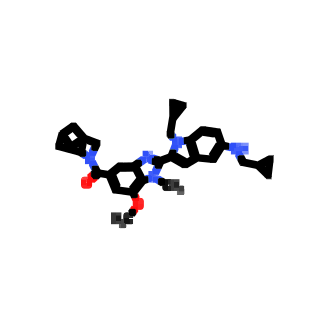 COc1cc(C(=O)N2CC34CC(CC23)C4)cc2nc(-c3cc4cc(NCC5CC5)ccc4n3CC3CC3)n(C)c12